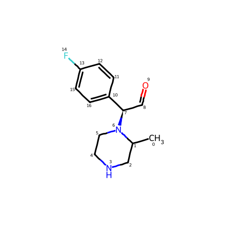 CC1CNCCN1[C@H](C=O)c1ccc(F)cc1